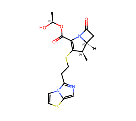 C[C@H](O)OC(=O)C1=C(SCCc2ncc3sccn23)[C@H](C)[C@@H]2CC(=O)N12